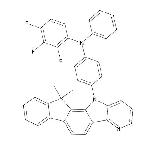 CC1(C)c2ccccc2-c2ccc3c4ncccc4n(-c4ccc(N(c5ccccc5)c5ccc(F)c(F)c5F)cc4)c3c21